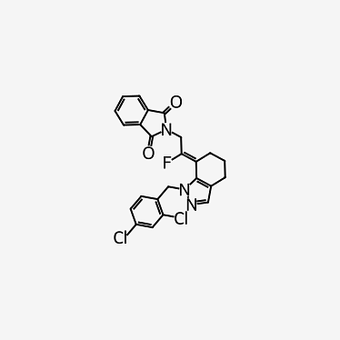 O=C1c2ccccc2C(=O)N1CC(F)=C1CCCc2cnn(Cc3ccc(Cl)cc3Cl)c21